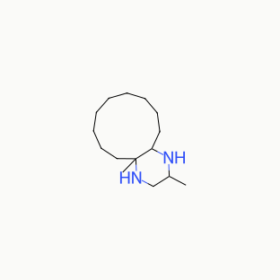 CC1CNC2(C)CCCCCCCCCC2N1